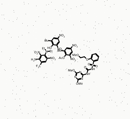 CCC(C)c1cc([N+](=O)[O-])cc([N+](=O)[O-])c1O.CCC(C)c1cc([N+](=O)[O-])cc([N+](=O)[O-])c1OC(C)=O.CCN(CC)c1c([N+](=O)[O-])cc(C(F)(F)F)c(N)c1[N+](=O)[O-].COCCOc1ccccc1S(=O)(=O)NC(=O)Nc1nc(OC)nc(OC)n1